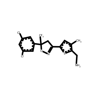 Cc1cc(C2=NOC(c3cc(Cl)cc(Cl)c3)(C(F)(F)F)C2)sc1CN